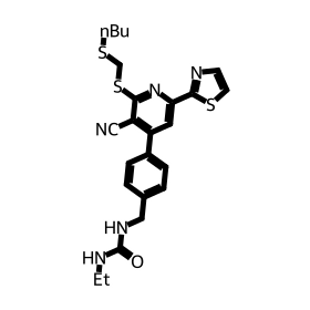 CCCCSCSc1nc(-c2nccs2)cc(-c2ccc(CNC(=O)NCC)cc2)c1C#N